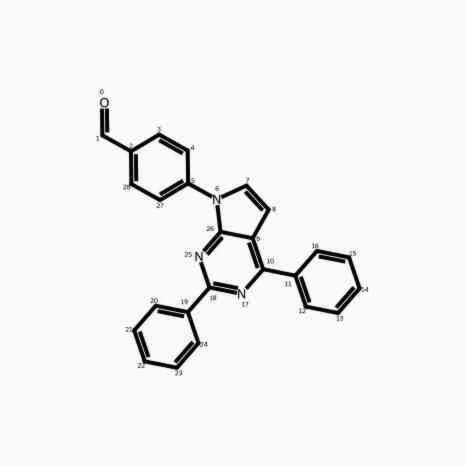 O=Cc1ccc(-n2ccc3c(-c4ccccc4)nc(-c4ccccc4)nc32)cc1